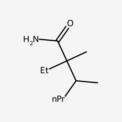 CCCC(C)C(C)(CC)C(N)=O